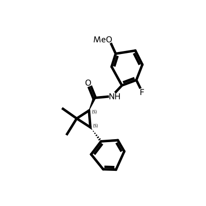 COc1ccc(F)c(NC(=O)[C@H]2[C@H](c3ccccc3)C2(C)C)c1